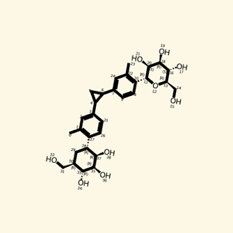 Cc1cc(C2CC2c2ccc([C@H]3O[C@H](CO)[C@@H](O)[C@H](O)[C@@H]3O)c(C)c2)ccc1[C@H]1C[C@H](CO)[C@@H](O)[C@H](O)[C@@H]1O